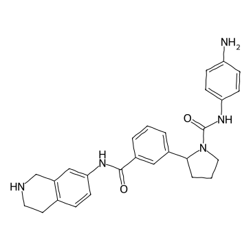 Nc1ccc(NC(=O)N2CCCC2c2cccc(C(=O)Nc3ccc4c(c3)CNCC4)c2)cc1